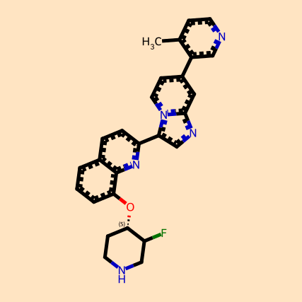 Cc1ccncc1-c1ccn2c(-c3ccc4cccc(O[C@H]5CCNCC5F)c4n3)cnc2c1